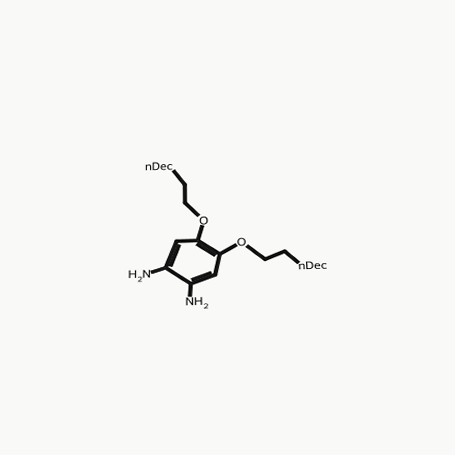 CCCCCCCCCCCCOc1cc(N)c(N)cc1OCCCCCCCCCCCC